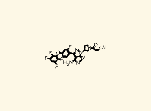 N#C/C=C\C(=O)N1CCC(n2nc(-c3ccc(Oc4c(F)c(F)cc(F)c4F)cc3F)c3c(N)ncnc32)C1